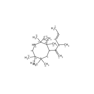 C=C(C(C)C=CC)C1CC(C)(C)C(C)(C)CNC(C)(C)C1(C)C